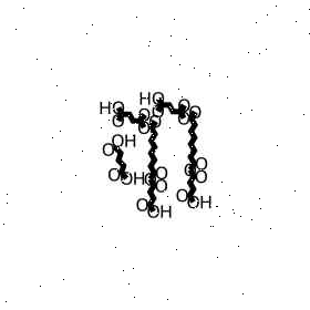 O=C(O)CCC(=O)OC(=O)CCCCCCC(=O)OC(=O)CCC(=O)O.O=C(O)CCC(=O)OC(=O)CCCCCCC(=O)OC(=O)CCC(=O)O.O=C(O)CCCC(=O)O